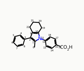 Cc1c(-c2ccccc2)c2c(n1-c1ccc(C(=O)O)cc1)CCCC2